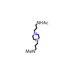 CNCCCN1CCN(CCCNC(C)=O)CC1